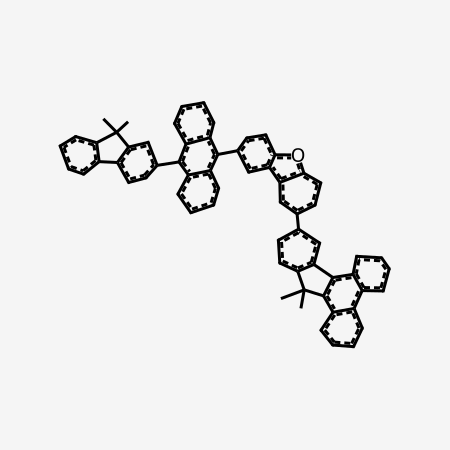 CC1(C)c2ccccc2-c2ccc(-c3c4ccccc4c(-c4ccc5oc6ccc(-c7ccc8c(c7)-c7c(c9ccccc9c9ccccc79)C8(C)C)cc6c5c4)c4ccccc34)cc21